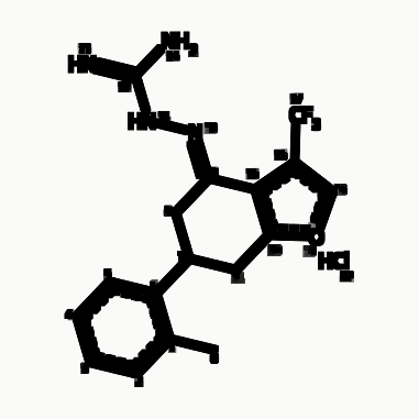 Cc1ccccc1C1CC(=NNC(=N)N)c2c(C(F)(F)F)coc2C1.Cl